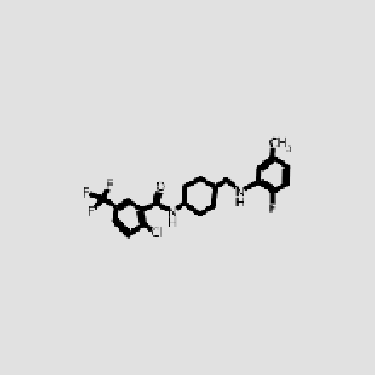 Cc1ccc(F)c(NCC2CCC(NC(=O)c3cc(C(F)(F)F)ccc3Cl)CC2)c1